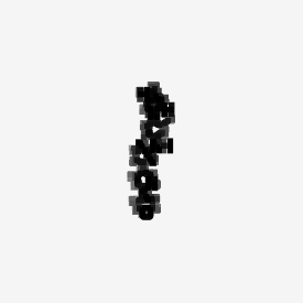 Cc1cc(Nc2nccc(-c3ccc(N4CCOCC4)nc3)n2)ccc1N1C[C@H]2C[C@@H]1CN2C